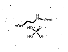 CCCCCCCCCCNCCCCC.O=P(O)(O)O